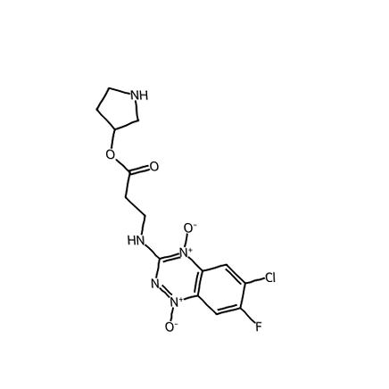 O=C(CCNc1n[n+]([O-])c2cc(F)c(Cl)cc2[n+]1[O-])OC1CCNC1